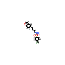 O=S(=O)(NCCCCc1ccc2occc2c1)c1ccc(Cl)cc1